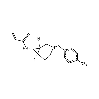 C=CC(=O)N[C@H]1[C@@H]2CCN(Cc3ccc(C(F)(F)F)cc3)C[C@@H]21